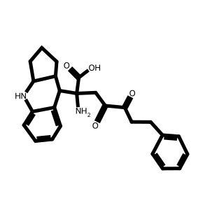 NC(CC(=O)C(=O)CCc1ccccc1)(C(=O)O)C1c2ccccc2NC2CCCC21